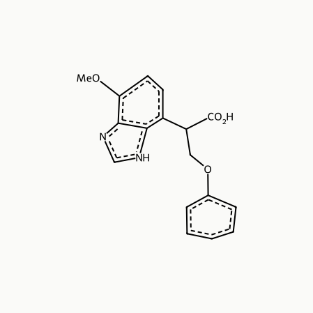 COc1ccc(C(COc2ccccc2)C(=O)O)c2[nH]cnc12